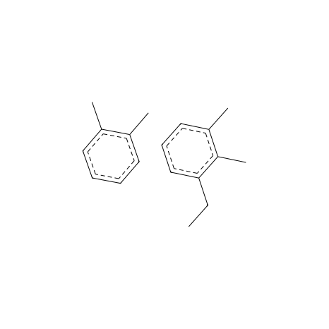 CCc1cccc(C)c1C.Cc1ccccc1C